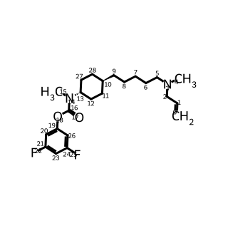 C=CCN(C)CCCCC[C@H]1CC[C@H](N(C)C(=O)Oc2cc(F)cc(F)c2)CC1